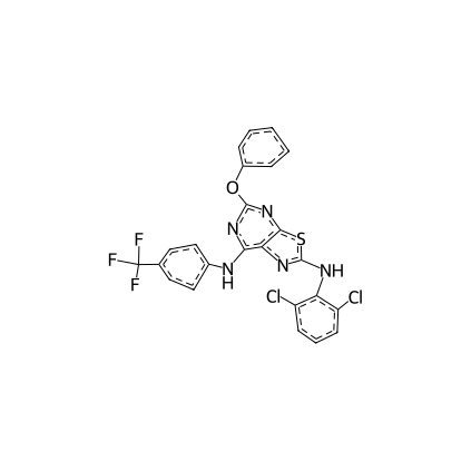 FC(F)(F)c1ccc(Nc2nc(Oc3ccccc3)nc3sc(Nc4c(Cl)cccc4Cl)nc23)cc1